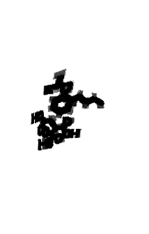 CCCCc1ccccc1O[CH](C)[K].O=C(O)CC(C(=O)O)S(=O)(=O)O